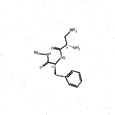 CC(C)(C)NC(=O)[C@H](Cc1ccccc1)NC(=O)[C@@H](N)CN